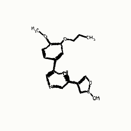 CCCOc1cc(-c2cncc(C3=COB(O)C3)n2)ccc1OC